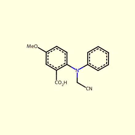 COc1ccc(N(CC#N)c2ccccc2)c(C(=O)O)c1